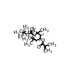 C=C(C)C(=O)OC1CC(C)(C)N(C(=O)OC(C)(C)CC)C(C)(C)C1